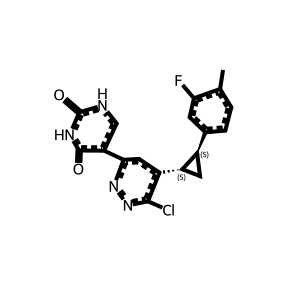 Cc1ccc([C@H]2C[C@@H]2c2cc(-c3c[nH]c(=O)[nH]c3=O)nnc2Cl)cc1F